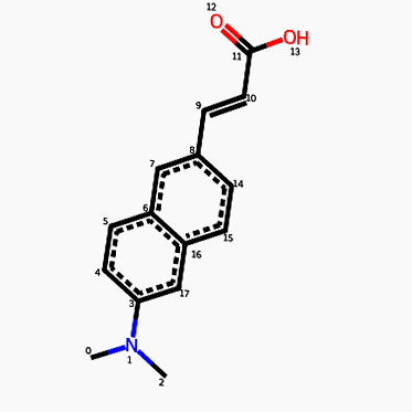 CN(C)c1ccc2cc(/C=C/C(=O)O)ccc2c1